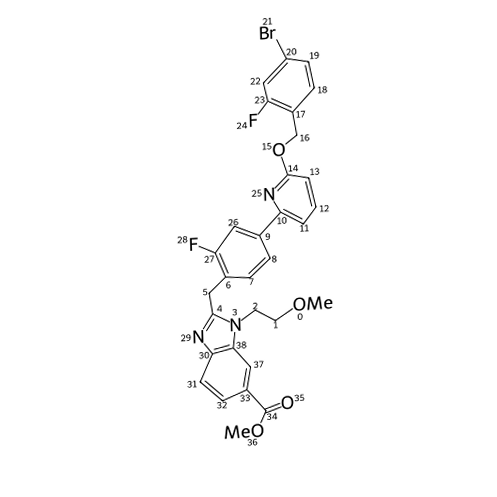 COCCn1c(Cc2ccc(-c3cccc(OCc4ccc(Br)cc4F)n3)cc2F)nc2ccc(C(=O)OC)cc21